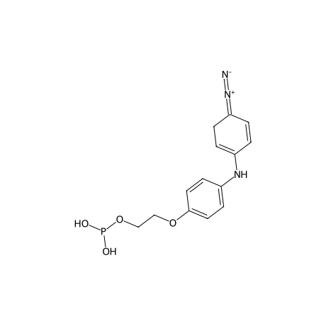 [N-]=[N+]=C1C=CC(Nc2ccc(OCCOP(O)O)cc2)=CC1